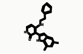 Cc1cc(C)c2[nH]c(-c3c(NCCc4ccccc4)cc[nH]c3=O)cc2c1